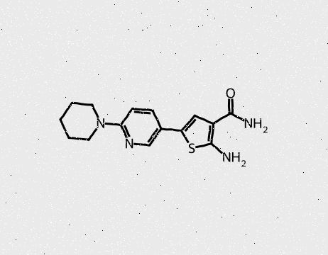 NC(=O)c1cc(-c2ccc(N3CCCCC3)nc2)sc1N